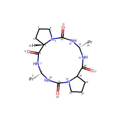 CC(C)[C@@H]1NC(=O)[C@@H]2CCCN2C(=O)N[C@H](C(C)C)NC(=O)C2CCCN2C(=O)N1